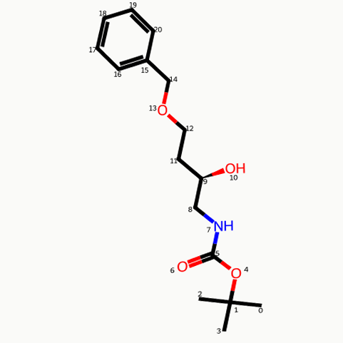 CC(C)(C)OC(=O)NC[C@H](O)CCOCc1ccccc1